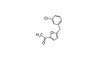 CC(=O)c1ccc(Cc2cccc(Cl)c2)o1